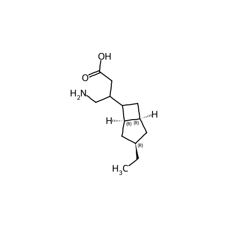 CC[C@@H]1C[C@@H]2CC(C(CN)CC(=O)O)[C@@H]2C1